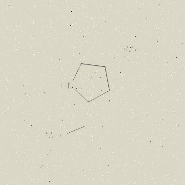 COC[C@H]1C[C@@H](OC)CN1